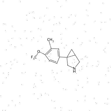 Cc1cc(C23CNCC2C3)ccc1OC(F)(F)F